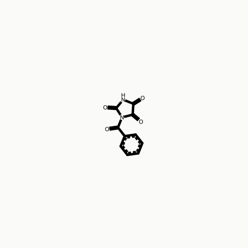 O=C1NC(=O)N(C(=O)c2ccccc2)C1=O